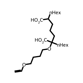 C=COCCCCOC(CCCCCC)(CCCC(CCCCCC)C(=O)O)C(=O)O